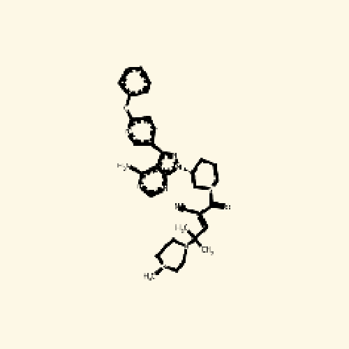 CN1CCN(C(C)(C)C=C(C#N)C(=O)N2CCC[C@@H](n3nc(-c4ccc(Oc5ccccc5)nc4)c4c(N)ncnc43)C2)CC1